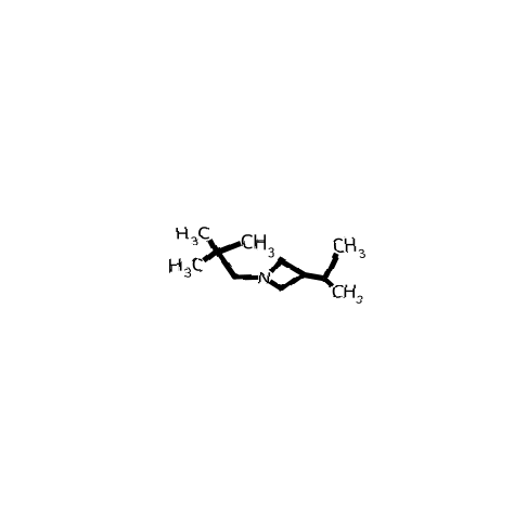 CC(C)C1CN(CC(C)(C)C)C1